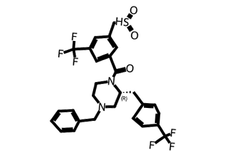 O=C(c1cc(C[SH](=O)=O)cc(C(F)(F)F)c1)N1CCN(Cc2ccccc2)C[C@H]1Cc1ccc(C(F)(F)F)cc1